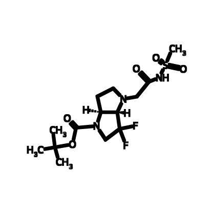 CC(C)(C)OC(=O)N1CC(F)(F)[C@H]2[C@@H]1CCN2CC(=O)NS(C)(=O)=O